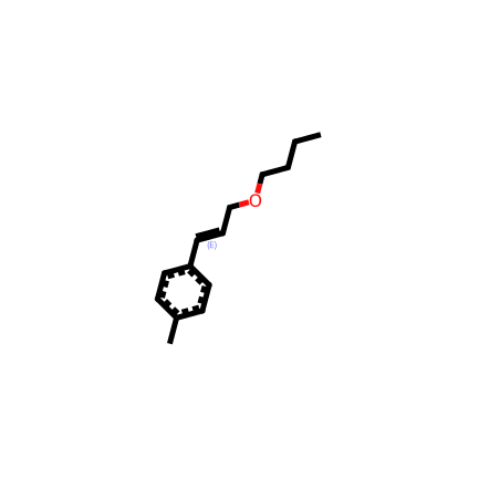 CCCCOC/C=C/c1ccc(C)cc1